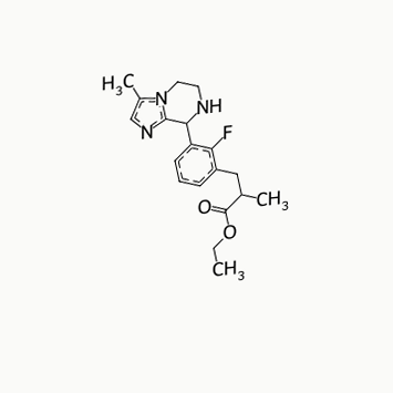 CCOC(=O)C(C)Cc1cccc(C2NCCn3c(C)cnc32)c1F